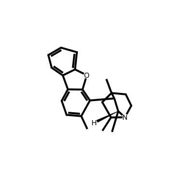 Cc1ccc2c(oc3ccccc32)c1C1[C@@H](C)N2CCC1(C)CC2C